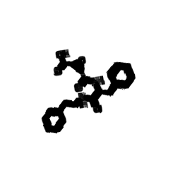 O=C(NCCc1ccccc1)[C@H](Cc1ccccc1)NC(=O)[C@H]1O[C@@H]1C(=O)O